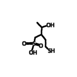 CC(O)C(CCS)CS(=O)(=O)O